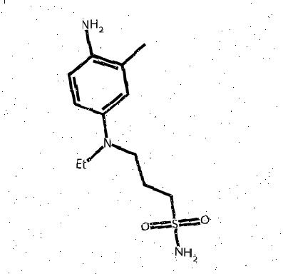 CCN(CCCS(N)(=O)=O)c1ccc(N)c(C)c1